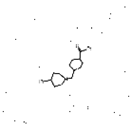 CCC(=O)C1CCC(CN2CCC(C(C)C)CC2)CC1